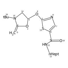 C=C1OC(Oc2ncc(C(=O)NCCCCCCC)s2)CN1C(C)(C)C